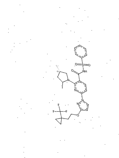 CC1C[C@H](C)CN1c1nc(-n2ccc(OCCC3(C(F)(F)F)CC3)n2)ccc1C(=O)NS(=O)(=O)c1ccccc1